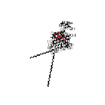 CCCCCCCCCCCCC/C=C/[C@@H](O)[C@H](CO[C@@H]1OC(CO)[C@@H](O[C@@H]2OC(CO)[C@H](O)[C@H](O[C@@H]3OC(CO)[C@@H](O)[C@H](O[C@@H]4OC(CO[C@@H]5OC(CO)[C@@H](O)[C@H](O)C5NC(C)=O)[C@H](O)[C@H](O[C@@H]5OC(CO)[C@@H](O)[C@H](O[C@@H]6OC(CO)[C@H](O)[C@H](O)C6O[C@H]6OC(C)[C@@H](O)C(O)[C@@H]6O)C5NC(C)=O)C4O)C3NC(C)=O)C2O)[C@H](O)C1O)NC(=O)CCCCCCCCCCCCCCCCCCCCC